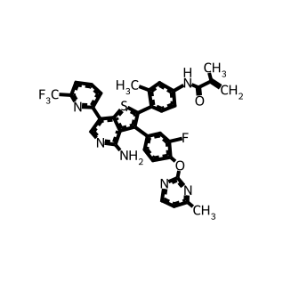 C=C(C)C(=O)Nc1ccc(-c2sc3c(-c4cccc(C(F)(F)F)n4)cnc(N)c3c2-c2ccc(Oc3nccc(C)n3)c(F)c2)c(C)c1